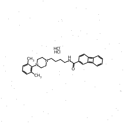 Cc1cccc(C)c1N1CCN(CCCCNC(=O)c2ccc3c(c2)=c2ccccc2=3)CC1.Cl.Cl